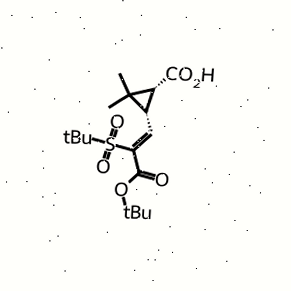 CC(C)(C)OC(=O)C(=C[C@H]1[C@@H](C(=O)O)C1(C)C)S(=O)(=O)C(C)(C)C